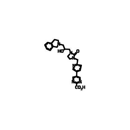 O=C(O)c1ncc(-c2ccc(CN3CCN(CC(O)CN4CCc5ccccc5C4)C3=O)nc2)cn1